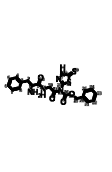 N[C@@H](Cc1ccccc1)C(=O)NCC(=O)N(C(=O)OCc1ccccc1)c1n[nH]c(=S)s1